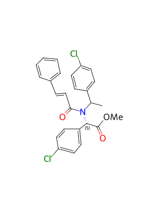 COC(=O)[C@H](c1ccc(Cl)cc1)N(C(=O)C=Cc1ccccc1)C(C)c1ccc(Cl)cc1